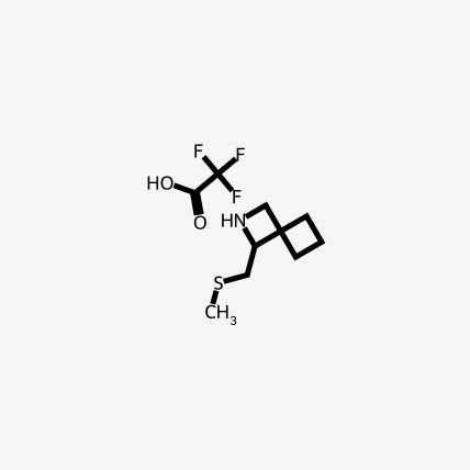 CSCC1NCC12CCC2.O=C(O)C(F)(F)F